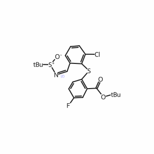 CC(C)(C)OC(=O)c1cc(F)ccc1Sc1c(Cl)cccc1/C=N\[S+]([O-])C(C)(C)C